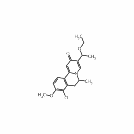 CCOC(C)c1cn2c(cc1=O)-c1ccc(OC)c(Cl)c1CC2C